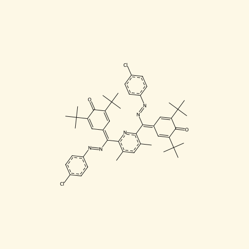 Cc1cc(C)c(C(/N=N/c2ccc(Cl)cc2)=C2C=C(C(C)(C)C)C(=O)C(C(C)(C)C)=C2)nc1C(/N=N/c1ccc(Cl)cc1)=C1C=C(C(C)(C)C)C(=O)C(C(C)(C)C)=C1